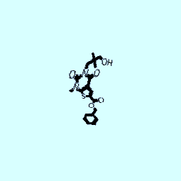 Cn1c(=O)n(CC(C)(C)CO)c(=O)c2cc(C(=O)OCc3ccccc3)sc21